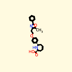 Cc1oc(-c2ccccc2)nc1CCOc1ccc([C@@H]2CC=CC[C@@H](C(=O)O)N2)cc1